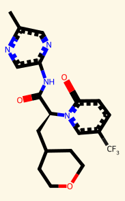 Cc1cnc(NC(=O)[C@H](CC2CCOCC2)n2cc(C(F)(F)F)ccc2=O)cn1